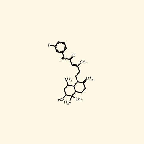 C=C1CCC2C(C(C)CC(O)C2(C)C)C1CCC(C)=CC(=O)Nc1cccc(F)c1